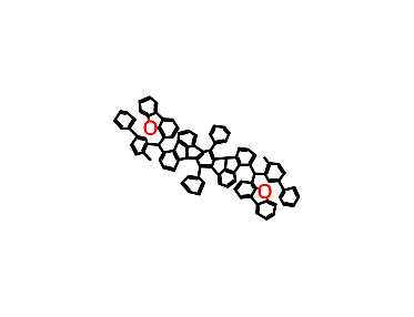 Cc1ccc(-c2ccccc2)cc1C(c1cccc2c1-c1cccc3c1C2c1c(-c2ccccc2)c2c(c(-c4ccccc4)c1-3)C1c3cccc(C(c4cc(-c5ccccc5)ccc4C)c4cccc5c4oc4ccccc45)c3-c3cccc-2c31)c1cccc2c1oc1ccccc12